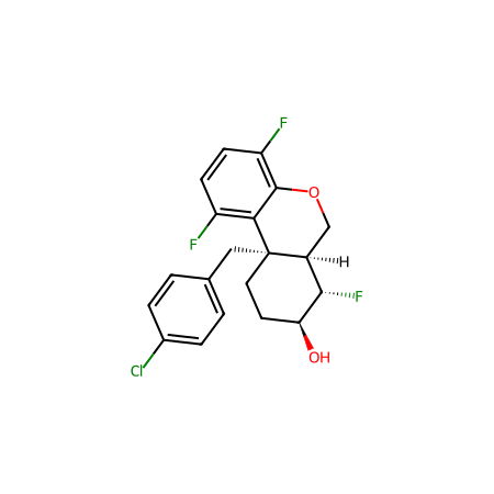 O[C@H]1CC[C@@]2(Cc3ccc(Cl)cc3)c3c(F)ccc(F)c3OC[C@H]2[C@@H]1F